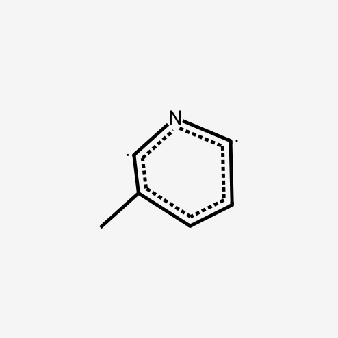 Cc1[c]n[c]cc1